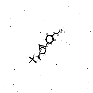 CC(C)(C)OC(=O)N1CC2CC1CC2c1ccc(CCN)cc1